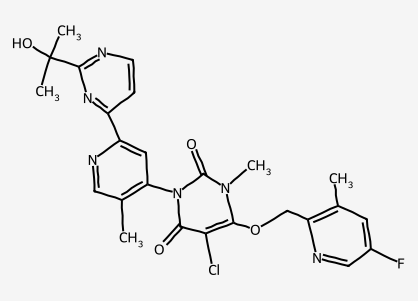 Cc1cnc(-c2ccnc(C(C)(C)O)n2)cc1-n1c(=O)c(Cl)c(OCc2ncc(F)cc2C)n(C)c1=O